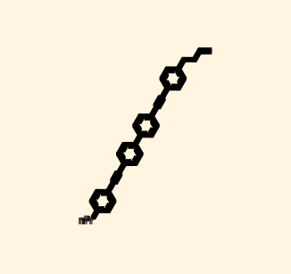 C=CCCc1ccc(C#Cc2ccc(-c3ccc(C#Cc4ccc(CCC)cc4)cc3)cc2)cc1